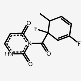 CC1C=CC(F)=CC1(F)C(=O)n1c(=O)cc[nH]c1=O